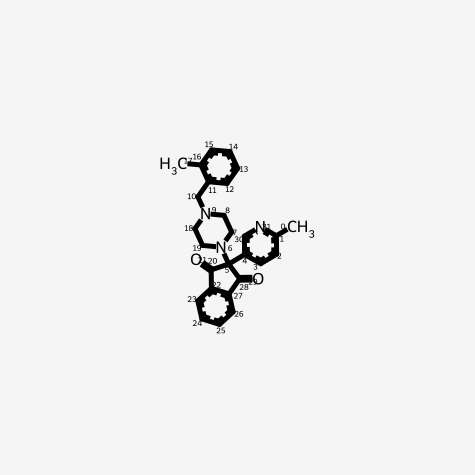 Cc1ccc(C2(N3CCN(Cc4ccccc4C)CC3)C(=O)c3ccccc3C2=O)cn1